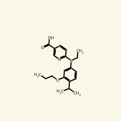 CCCOc1cc(N(CC)c2ccc(C(=O)O)cn2)ccc1C(C)C